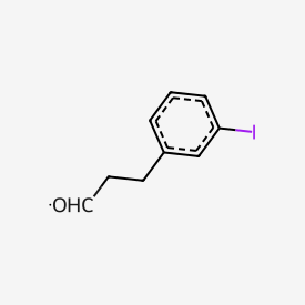 O=[C]CCc1cccc(I)c1